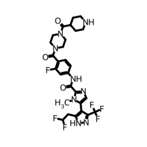 Cn1c(-c2c(C(F)(F)F)n[nH]c2CC(F)F)cnc1C(=O)Nc1ccc(C(=O)N2CCN(C(=O)C3CCNCC3)CC2)c(F)c1